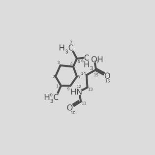 CC1CCC(C(C)C)CC1.O=CNCCC(=O)O